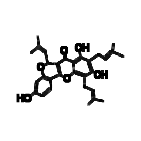 CC(C)=CCc1c(O)c(CC=C(C)C)c2oc3c(c(=O)c2c1O)C(C=C(C)C)Oc1cc(O)ccc1-3